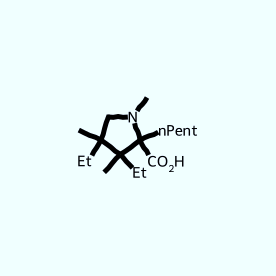 CCCCCC1(C(=O)O)N(C)CC(C)(CC)C1(C)CC